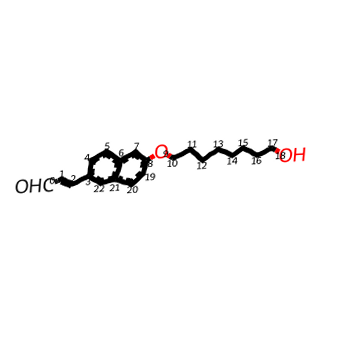 O=C/C=C/c1ccc2cc(OCCCCCCCCO)ccc2c1